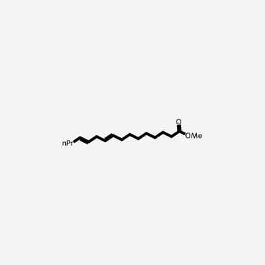 CCCC=CCC=CCCCCCCCC(=O)OC